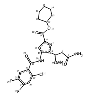 COC(CC(N)=O)n1nc(C(=O)OC2CCCCC2)cc1NC(=O)c1cc(F)c(F)cc1Cl